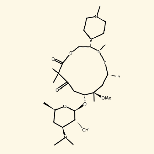 CO[C@]1(C)C[C@@H](C)CN(C)[C@@H](C2CCN(C)CC2)COC(=O)C(C)(C)C(=O)C[C@H]1O[C@@H]1O[C@H](C)C[C@H](N(C)C)[C@H]1O